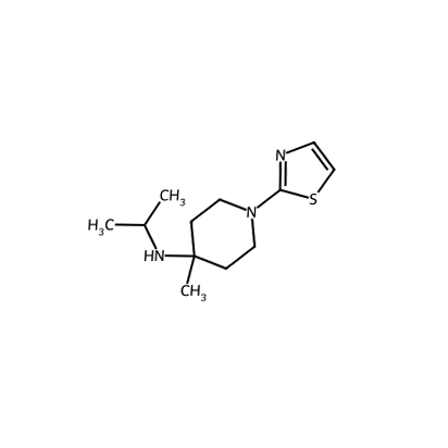 CC(C)NC1(C)CCN(c2nccs2)CC1